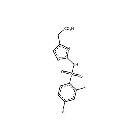 O=C(O)Cc1csc(NS(=O)(=O)c2ccc(Br)cc2F)n1